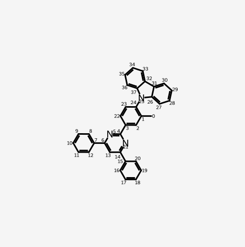 Cc1cc(-c2nc(-c3ccccc3)cc(-c3ccccc3)n2)ccc1-n1c2ccccc2c2ccccc21